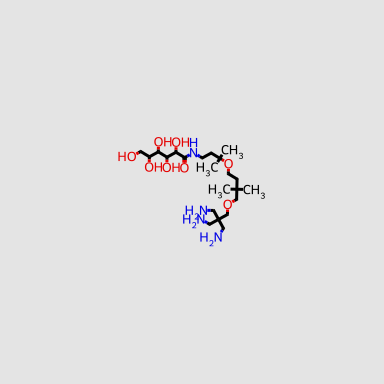 CC(C)(CCOC(C)(C)CCNC(=O)C(O)C(O)C(O)C(O)CO)COCC(CN)(CN)CN